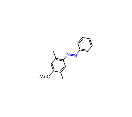 COc1cc(C)c(N=Nc2ccccc2)cc1C